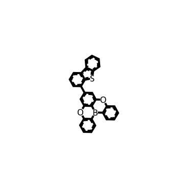 c1ccc2c(c1)Oc1cc(-c3cccc4c3sc3ccccc34)cc3c1B2c1ccccc1O3